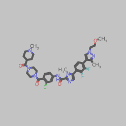 COCCn1cc(-c2ccc(-c3cnc(C(=O)Nc4ccc(C(=O)N5CCN(C(=O)C6CCN(C)CC6)CC5)c(Cl)c4)n3C)c(F)c2F)c(C)n1